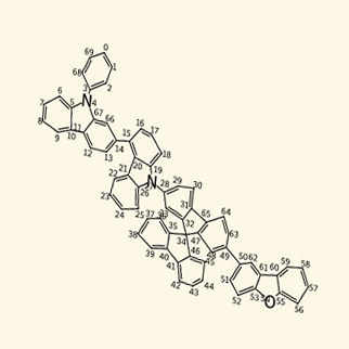 c1ccc(-n2c3ccccc3c3ccc(-c4cccc5c4c4ccccc4n5-c4ccc5c(c4)C4(c6ccccc6-c6ccccc64)c4cc(-c6ccc7oc8ccccc8c7c6)ccc4-5)cc32)cc1